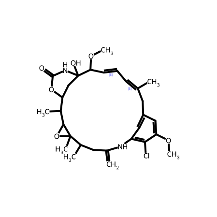 C=C1CC(C)C2(C)OC2C(C)C2CC(O)(NC(=O)O2)C(OC)/C=C/C=C(\C)Cc2cc(c(Cl)c(OC)c2)N1